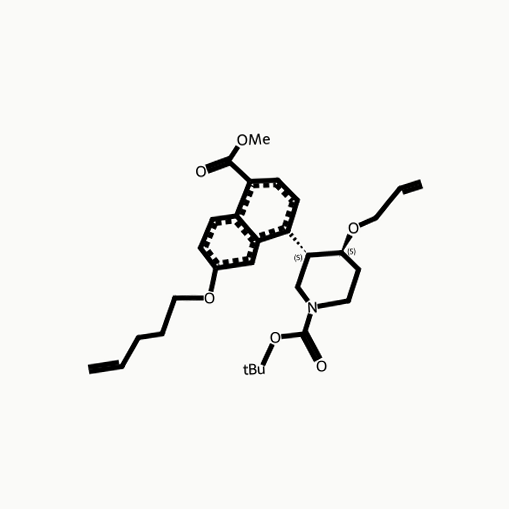 C=CCCCOc1ccc2c(C(=O)OC)ccc([C@H]3CN(C(=O)OC(C)(C)C)CC[C@@H]3OCC=C)c2c1